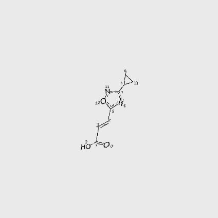 O=C(O)C=Cc1nc(C2CC2)no1